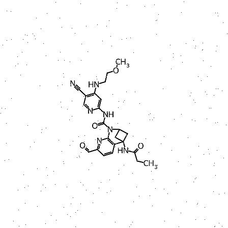 CCC(=O)NC12CC(C1)N(C(=O)Nc1cc(NCCOC)c(C#N)cn1)c1nc(C=O)ccc12